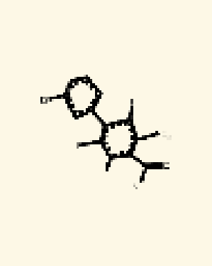 CCc1cccc(-c2c(I)c(I)c(C(=O)Cl)c([N+](=O)[O-])c2I)c1